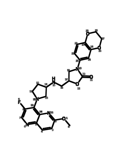 COc1ccc2ncc(F)c(N3CCC(NCC4CN(c5ccc6c(c5)OCCO6)C(=O)O4)C3)c2n1